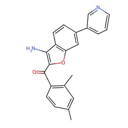 Cc1ccc(C(=O)c2oc3cc(-c4cccnc4)ccc3c2N)c(C)c1